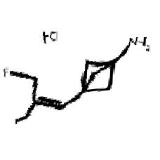 CC(=CC12CC(N)(C1)C2)CF.Cl